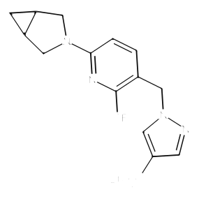 CCOC(=O)c1cnn(Cc2ccc(N3CC4CC4C3)nc2C(F)(F)F)c1